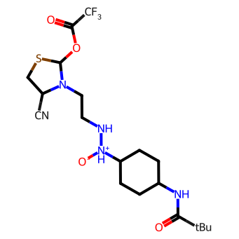 CC(C)(C)C(=O)NC1CCC([NH+]([O-])NCCN2C(C#N)CSC2OC(=O)C(F)(F)F)CC1